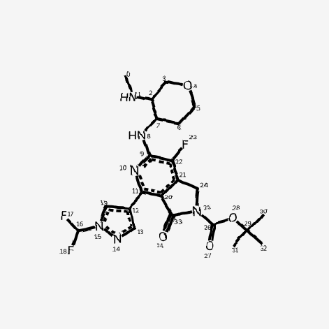 CNC1COCCC1Nc1nc(-c2cnn(C(F)F)c2)c2c(c1F)CN(C(=O)OC(C)(C)C)C2=O